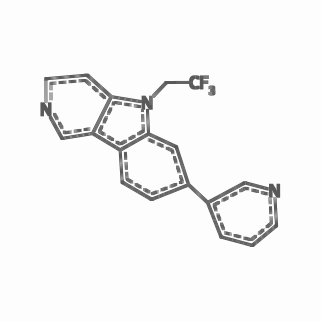 FC(F)(F)Cn1c2ccncc2c2ccc(-c3cccnc3)cc21